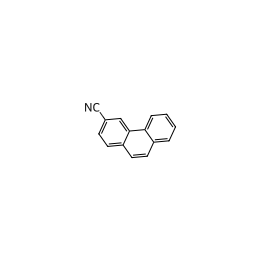 N#Cc1ccc2ccc3ccccc3c2c1